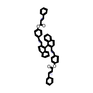 O=C(/C=C/c1ccccc1)Oc1ccc(/C=C/c2ccc3ccccc3c2-c2c(/C=C/c3ccc(OC(=O)/C=C/c4ccccc4)cc3)ccc3ccccc23)cc1